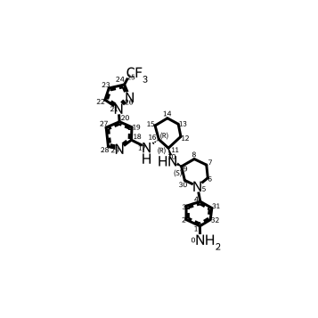 Nc1ccc(N2CCC[C@H](N[C@@H]3CCCC[C@H]3Nc3cc(-n4ccc(C(F)(F)F)n4)ccn3)C2)cc1